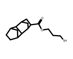 O=C(OCCCS)C1CC2CC1C1C3CCC(C3)C21